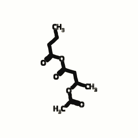 CCCC(=O)OC(=O)CC(C)OC(C)=O